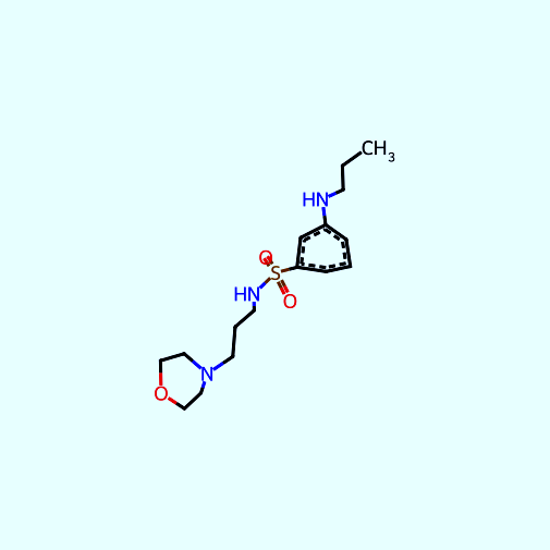 CCCNc1cccc(S(=O)(=O)NCCCN2CCOCC2)c1